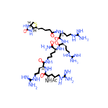 CC(=O)N[C@@H](CCCNC(=N)N)C(=O)N[C@@H](CCCNC(=N)N)C(=O)NCCCC[C@H](NC(=O)[C@H](CCCNC(=N)N)NC(=O)[C@H](CCCNC(=N)N)NC(=O)CCCC[C@@H]1SC[C@@H]2NC(=O)N[C@@H]21)C(N)=O